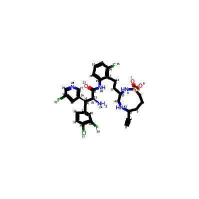 C#CC1CCCS(=O)(=O)NC(CCc2c(F)cccc2NC(=O)[C@@H](N)[C@H](c2cncc(F)c2)c2ccc(Cl)c(F)c2)CN1